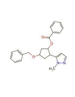 Cn1nccc1C1CC(OCc2ccccc2)CC1OC(=O)c1ccccc1